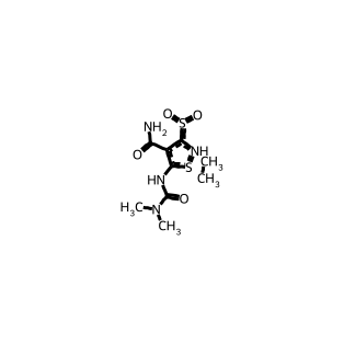 CC.CN(C)C(=O)Nc1s[nH]c(=S(=O)=O)c1C(N)=O